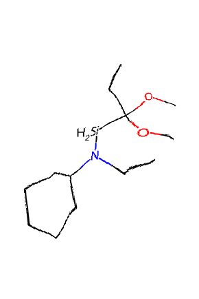 CCN([SiH2]C(CC)(OC)OC)C1CCCCC1